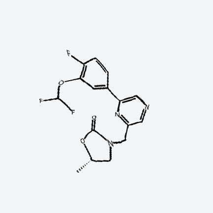 C[C@H]1CN(Cc2cncc(-c3ccc(F)c(OC(F)F)c3)n2)C(=O)O1